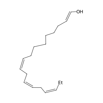 CC/C=C\C/C=C\C/C=C\CCCCCCC=CO